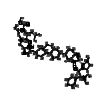 C=CCCN(Cc1ncc(-c2ccc3c(c2)CCc2cc(-c4ccc5nc([C@@H]6C(=C)CCN6C(=O)C(c6ccccc6)N(C)C)[nH]c5c4)ccc2-3)[nH]1)C(=O)[C@H](CC(C)C)NC(=O)OC